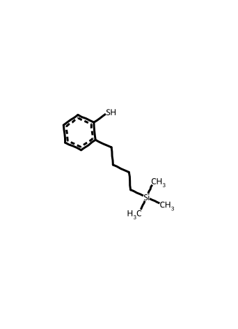 C[Si](C)(C)CCCCc1ccccc1S